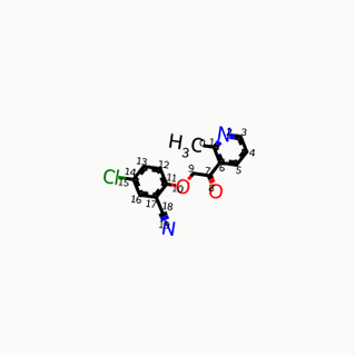 Cc1ncccc1C(=O)COc1ccc(Cl)cc1C#N